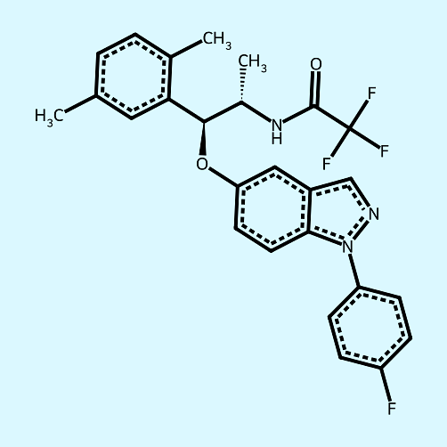 Cc1ccc(C)c([C@H](Oc2ccc3c(cnn3-c3ccc(F)cc3)c2)[C@H](C)NC(=O)C(F)(F)F)c1